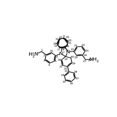 NCc1cccc(N(c2ccccc2)C2(N(c3ccccc3)c3cccc(CN)c3)C=CC(c3ccccc3)=CC2)c1